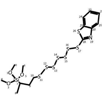 CO[Si](OC)(OC)C(C)CCSSSSSSSc1nc2ccccc2s1